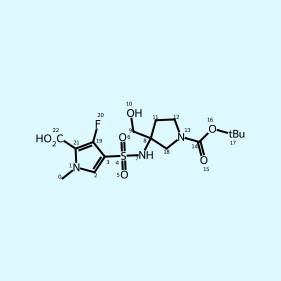 Cn1cc(S(=O)(=O)NC2(CO)CCN(C(=O)OC(C)(C)C)C2)c(F)c1C(=O)O